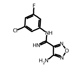 N=C(Nc1cc(F)cc(Cl)c1)c1nonc1N